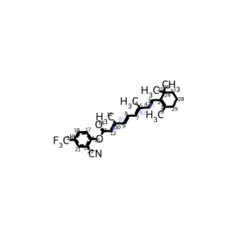 CC1=C(/C=C/C(C)=C/C=C/C(C)=C/C(=O)Oc2ccc(C(F)(F)F)cc2C#N)C(C)(C)CCC1